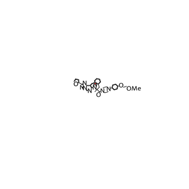 COCCOc1ccc(N2CCN(C(=O)C(C)(Cc3ccccc3)n3ncc4c3ncn3nc(-c5ccco5)nc43)CC2)cc1